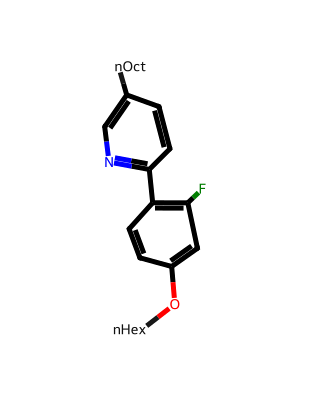 CCCCCCCCc1ccc(-c2ccc(OCCCCCC)cc2F)nc1